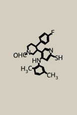 Cc1ccc(C)c(Nc2cc(S)ncc2C2CN(C=O)CCC2c2ccc(F)cc2)c1